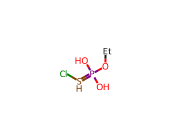 CCOP(O)(O)=[SH]Cl